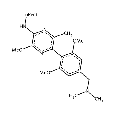 CCCCCNc1nc(C)c(-c2c(OC)cc(CN(C)C)cc2OC)nc1OC